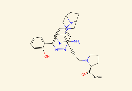 CNC(=O)[C@@H]1CCCN1CC#Cc1cc(N2C3CCC2CN(c2cc(-c4ccccc4O)nnc2N)C3)ccn1